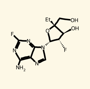 CC[C@]1(CO)O[C@@H](n2cnc3c(N)nc(F)nc32)[C@@H](F)[C@@H]1O